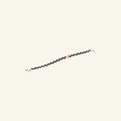 CCCCCCCCCCCCCCCCCCCCCCC[CH]OCCCCCCCCCCCCCCCC